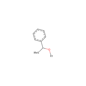 [CH2]COC(SC)c1ccccc1